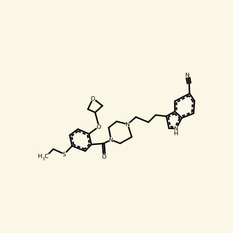 CCSc1ccc(OC2COC2)c(C(=O)N2CCN(CCCc3c[nH]c4ccc(C#N)cc34)CC2)c1